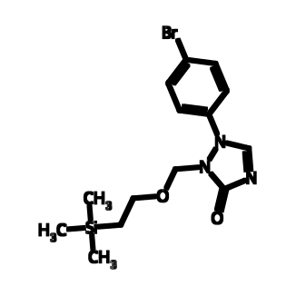 C[Si](C)(C)CCOCn1c(=O)ncn1-c1ccc(Br)cc1